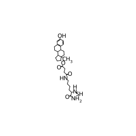 CC12CCC3c4ccc(O)cc4CCC3C1CCC2OC(=O)CCC(=O)NCCCCC(NS)C(N)=O